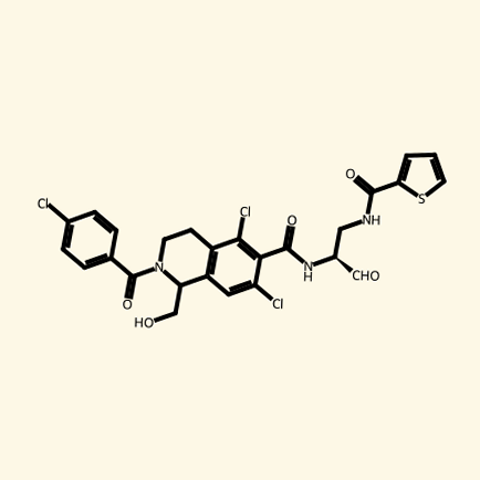 O=C[C@H](CNC(=O)c1cccs1)NC(=O)c1c(Cl)cc2c(c1Cl)CCN(C(=O)c1ccc(Cl)cc1)C2CO